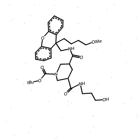 COCCCCC1(CNC(=O)C2CC(C(=O)NCCCO)CN(C(=O)OC(C)(C)C)C2)c2ccccc2Oc2ccccc21